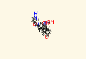 C[C@]12CC[C@H]3[C@@H](C/C(=N\O)[C@@]4(O)CC5C(C[C@]34C)N5O[C@H]3CCNC3)[C@@H]1CCC2=O